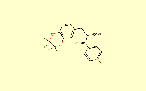 CCOC(=O)C(Cc1ccc2c(c1)OC(F)(F)C(F)(F)O2)C(=O)c1ccc(F)cc1